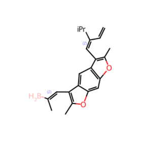 B/C(C)=C/c1c(C)oc2cc3oc(C)c(/C=C(\C=C)C(C)C)c3cc12